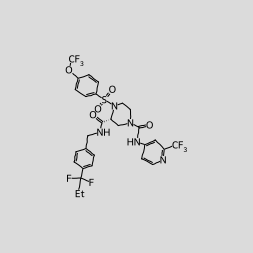 CCC(F)(F)c1ccc(CNC(=O)[C@H]2CN(C(=O)Nc3ccnc(C(F)(F)F)c3)CCN2S(=O)(=O)c2ccc(OC(F)(F)F)cc2)cc1